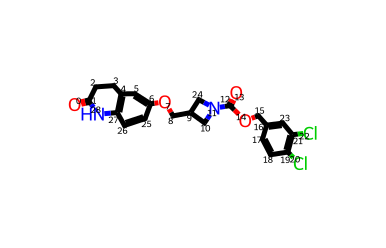 O=C1CCc2cc(OCC3CN(C(=O)OCc4ccc(Cl)c(Cl)c4)C3)ccc2N1